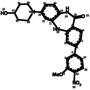 COc1cc(-c2ccc3c(c2)Nc2cc(N4CCC(O)CC4)ccc2NC3=O)ccc1[N+](=O)[O-]